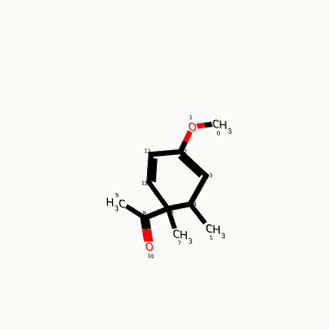 COC1=CC(C)C(C)(C(C)=O)C=C1